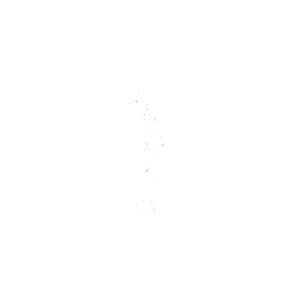 O=C(Cc1ccccc1)NCc1ccc(-c2nc(C(=O)N3CCCCC3)co2)cc1O